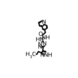 CCCc1n[nH]cc1-c1cnc(NNC(=O)Cc2ccc3ncccc3c2)nn1